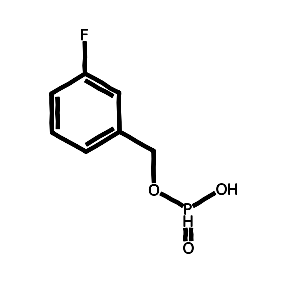 O=[PH](O)OCc1cccc(F)c1